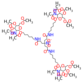 CC(=O)NC1C(OCCCCCCNC(=O)CCC(CCC(=O)NCCCCCCOC2OC(COC(C)=O)C(OC(C)=O)C(OC(C)=O)C2NC(C)=O)(CCC(=O)NCCCCCCOC2OC(COC(C)=O)C(OC(C)=O)C(OC(C)=O)C2NC(C)=O)[N+](=O)[O-])OC(COC(C)=O)C(OC(C)=O)C1OC(C)=O